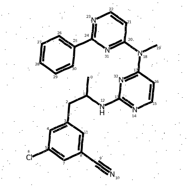 CC(Cc1cc(Cl)cc(C#N)c1)Nc1nccc(N(C)c2ccnc(-c3ccccc3)n2)n1